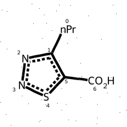 C[CH]Cc1nnsc1C(=O)O